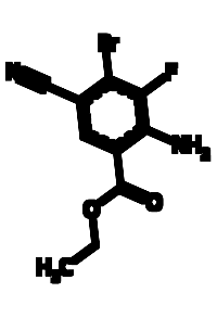 CCOC(=O)c1cc(C#N)c(Br)c(F)c1N